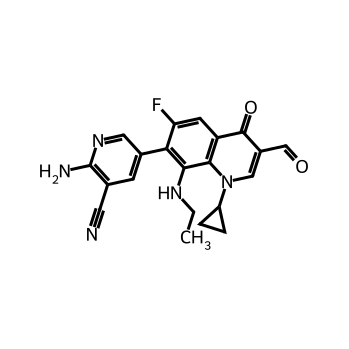 CCNc1c(-c2cnc(N)c(C#N)c2)c(F)cc2c(=O)c(C=O)cn(C3CC3)c12